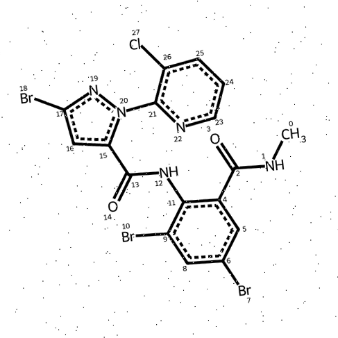 CNC(=O)c1cc(Br)cc(Br)c1NC(=O)c1cc(Br)nn1-c1ncccc1Cl